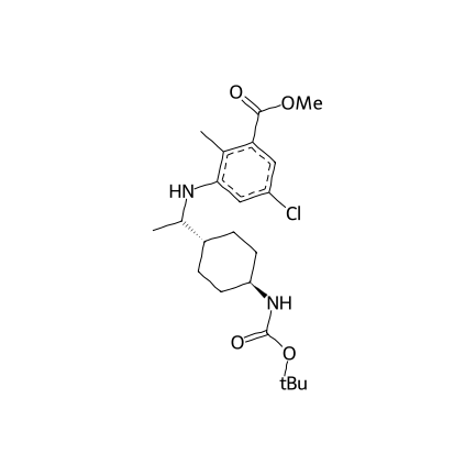 COC(=O)c1cc(Cl)cc(NC(C)[C@H]2CC[C@H](NC(=O)OC(C)(C)C)CC2)c1C